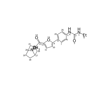 CCNC(=O)Nc1ccc(-c2ccc(C(=O)N3CC4CCC(C3)N4C)o2)cc1